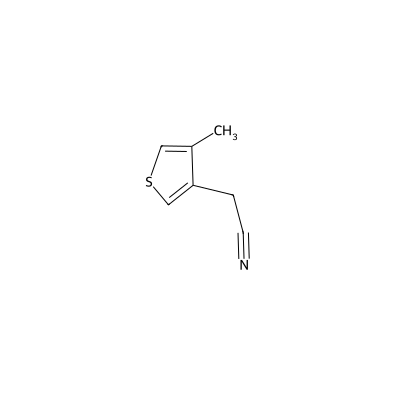 Cc1cscc1CC#N